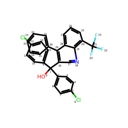 OC(c1ccc(Cl)cc1)(c1ccc(Cl)cc1)c1cnc2c(C(F)(F)F)cccc2c1-c1ccccc1